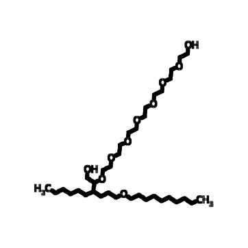 CCCCCCCCCCOCCCC(CCCCCC)C(CO)OCCOCCOCCOCCOCCOCCOCCO